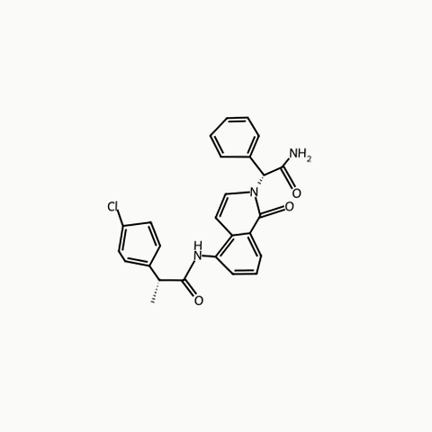 C[C@@H](C(=O)Nc1cccc2c(=O)n([C@@H](C(N)=O)c3ccccc3)ccc12)c1ccc(Cl)cc1